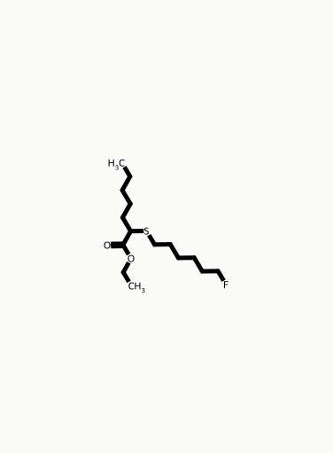 CCCCCC(SCCCCCCF)C(=O)OCC